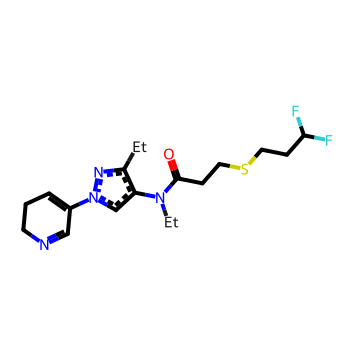 CCc1nn(C2=CCCN=C2)cc1N(CC)C(=O)CCSCCC(F)F